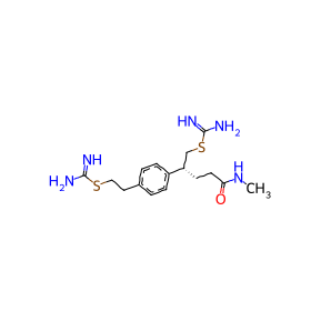 CNC(=O)CC[C@@H](CSC(=N)N)c1ccc(CCSC(=N)N)cc1